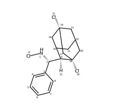 ClN[C@@H](c1ccccc1)[C@H]1C2CC3C[C@](Cl)(C2)C[C@@]1(Cl)C3